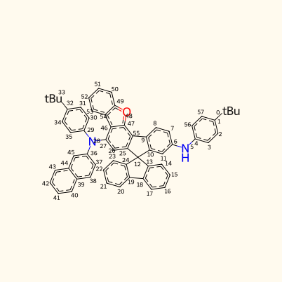 CC(C)(C)c1ccc(Nc2ccc3c(c2)C2(c4ccccc4-c4ccccc42)c2cc(N(c4ccc(C(C)(C)C)cc4)c4ccc5ccccc5c4)c4c(oc5ccccc54)c2-3)cc1